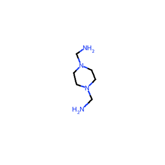 NCN1CCN(CN)CC1